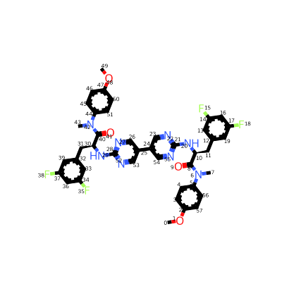 COc1ccc(N(C)C(=O)[C@H](Cc2cc(F)cc(F)c2)Nc2ncc(-c3cnc(N[C@@H](Cc4cc(F)cc(F)c4)C(=O)N(C)c4ccc(OC)cc4)nc3)cn2)cc1